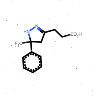 O=C(O)CCC1=NNC(c2ccccc2)(C(F)(F)F)C1